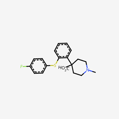 CN1CCC(C(=O)O)(c2ccccc2Sc2ccc(F)cc2)CC1